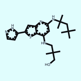 CC(C)(C)CC(C)(C)Nc1cc(NCC(C)(C)CO)c2sc(-c3ccn[nH]3)cc2n1